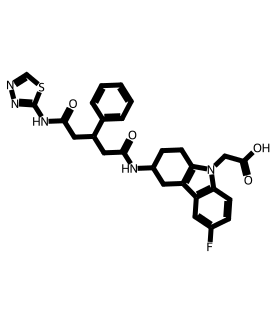 O=C(O)Cn1c2c(c3cc(F)ccc31)CC(NC(=O)CC(CC(=O)Nc1nncs1)c1ccccc1)CC2